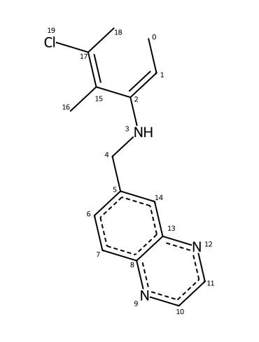 C/C=C(NCc1ccc2nccnc2c1)\C(C)=C(/C)Cl